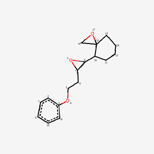 c1ccc(OCCC2OC2C2CCCCC23CO3)cc1